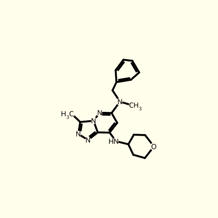 Cc1nnc2c(NC3CCOCC3)cc(N(C)Cc3ccccc3)nn12